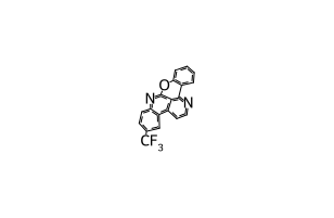 FC(F)(F)c1ccc2nc3c4c(nccc4c2c1)-c1ccccc1O3